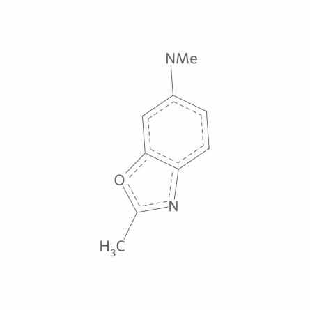 CNc1ccc2nc(C)oc2c1